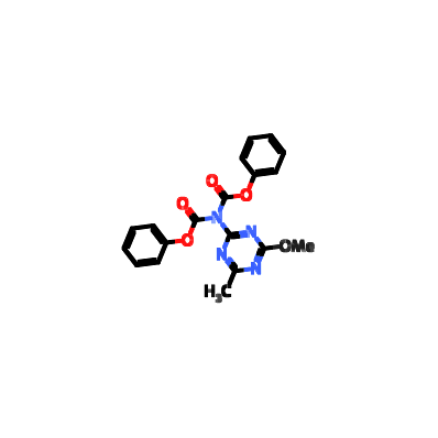 COc1nc(C)nc(N(C(=O)Oc2ccccc2)C(=O)Oc2ccccc2)n1